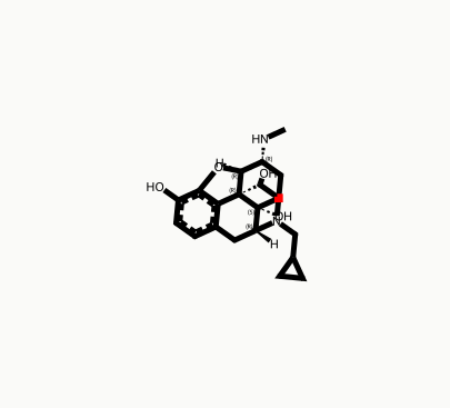 CN[C@@H]1CC[C@@]2(O)[C@H]3Cc4ccc(O)c5c4[C@@]2(C(O)CN3CC2CC2)[C@H]1O5